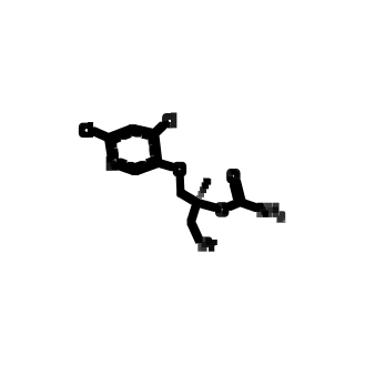 CC(C)C[C@@](C)(COc1cnc(Cl)cc1Cl)OC(N)=O